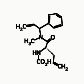 C=CC[C@H](NC(=O)O)C(=O)N(C)C(C=C)c1ccccc1